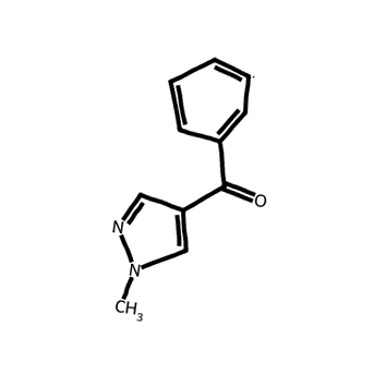 Cn1cc(C(=O)c2c[c]ccc2)cn1